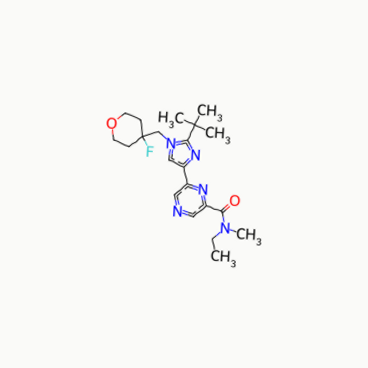 CCN(C)C(=O)c1cncc(-c2cn(CC3(F)CCOCC3)c(C(C)(C)C)n2)n1